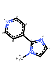 Cn1ccnc1-c1ccncc1